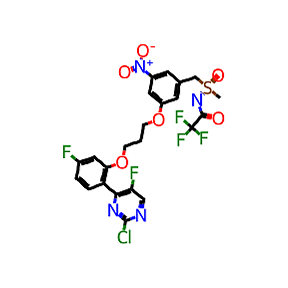 CS(=O)(Cc1cc(OCCCOc2cc(F)ccc2-c2nc(Cl)ncc2F)cc([N+](=O)[O-])c1)=NC(=O)C(F)(F)F